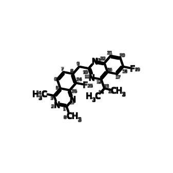 Cc1nc(C)c2ccc(Cc3nc(C(C)C)c4cc(F)ccc4n3)c(F)c2n1